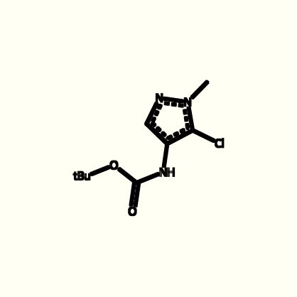 Cn1ncc(NC(=O)OC(C)(C)C)c1Cl